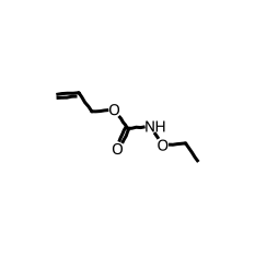 C=CCOC(=O)NOCC